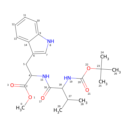 COC(=O)C(Cc1c[nH]c2ccccc12)NC(=O)C(NC(=O)OC(C)(C)C)C(C)C